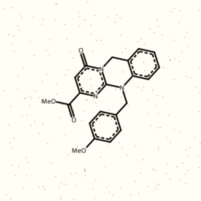 COC(=O)c1cc(=O)n2c(n1)N(Cc1ccc(OC)cc1)c1ccccc1C2